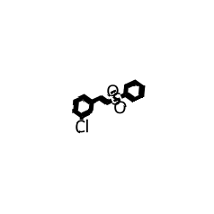 O=S(=O)(C=Cc1cccc(Cl)c1)c1ccccc1